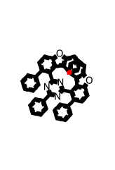 c1ccc(-c2nc(-c3c(-c4ccccc4)ccc4oc5ccccc5c34)nc(-c3c(-c4ccccc4)ccc4oc5ccccc5c34)n2)cc1